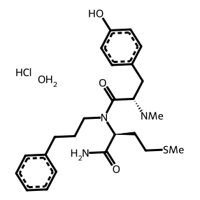 CN[C@@H](Cc1ccc(O)cc1)C(=O)N(CCCc1ccccc1)[C@@H](CCSC)C(N)=O.Cl.O